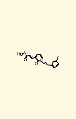 O=C(/C=C/c1cccn(CCCc2cccc(F)c2)c1=O)NO